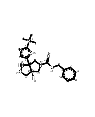 C[Si](C)(C)c1ncc(C23CN(C(=O)OCc4ccccc4)C[C@@H]2CON3)s1